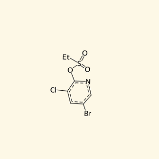 CCS(=O)(=O)Oc1ncc(Br)cc1Cl